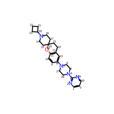 c1cnc(N2CCN(c3ccc4c(c3)CCC3(CCN(C5CCC5)CC3)O4)CC2)nc1